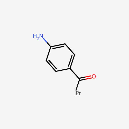 CC(C)C(=O)c1ccc(N)cc1